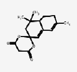 CC1=CC2=CC3(CC(C)(C)C2CC1)OC(=O)CC(=O)O3